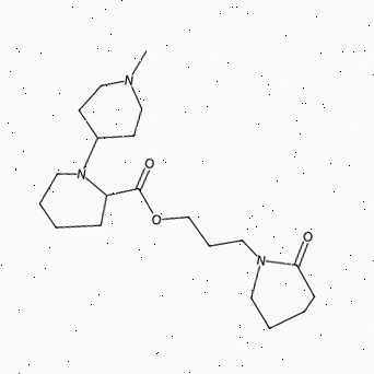 CN1CCC(N2CCCCC2C(=O)OCCCN2CCCCC2=O)CC1